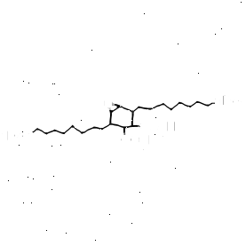 CCCCCCCCCCCCCCCCCCC1C2OC2C(CCCCCCCCCCCCCCCCCC)C(C(=O)O)C1C(=O)O